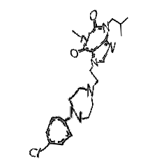 CC(C)Cn1c(=O)n(C)c(=O)c2c1ncn2CCN1CCN(c2ccc(Cl)cc2)CC1